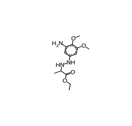 CCOC(=O)C(C)NNc1cc(N)c(OC)c(OC)c1